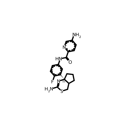 NC1=N[C@@]2(c3cc(NC(=O)c4ccc(N)cn4)ccc3F)CCCC2CS1